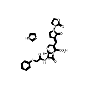 O=C(CSc1ccccc1)N[C@@H]1C(=O)N2C(C(=O)O)=C(/C=C3\CCN(N4CCOC4=O)C3=O)CS[C@H]12.c1c[nH]cn1